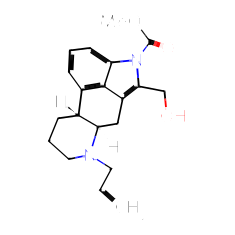 C=CCN1CCC[C@@H]2c3cccc4c3c(c(CO)n4C(=O)OC)C[C@H]21